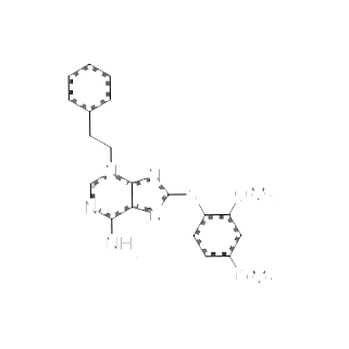 COc1ccc(Sc2nc3c(N)ncn(CCc4ccccc4)c-3n2)c(OC)c1